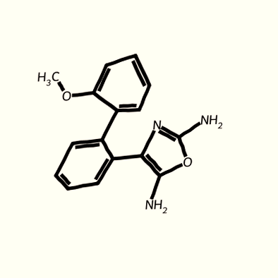 COc1ccccc1-c1ccccc1-c1nc(N)oc1N